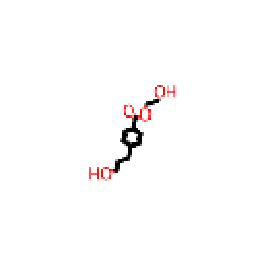 O=C(OCCO)c1ccc(CCCO)cc1